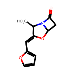 O=C(O)C1C(=Cc2ccco2)OC2CC(=O)N21